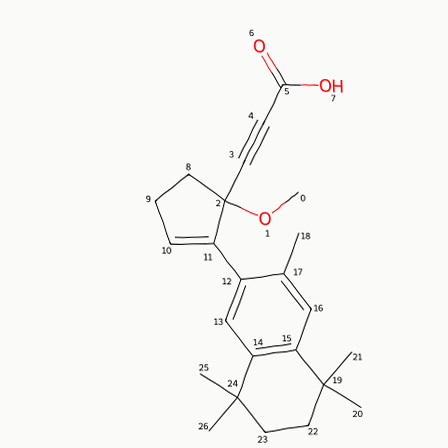 COC1(C#CC(=O)O)CCC=C1c1cc2c(cc1C)C(C)(C)CCC2(C)C